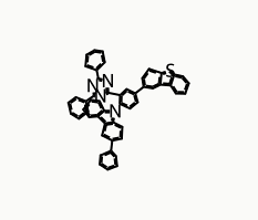 c1ccc(-c2ccc3c(c2)c2ccccc2n3-c2ccc(-c3ccc4sc5ccccc5c4c3)cc2-c2nc(-c3ccccc3)nc(-c3ccccc3)n2)cc1